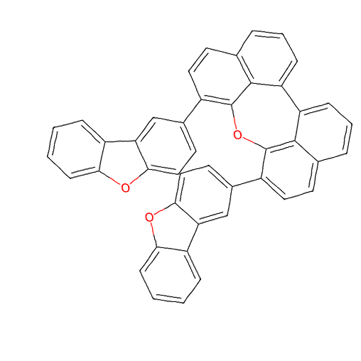 c1ccc2c(c1)oc1ccc(-c3ccc4cccc5c6cccc7ccc(-c8ccc9oc%10ccccc%10c9c8)c(oc3c45)c76)cc12